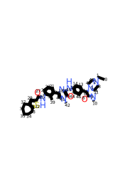 CCN1CCN(C(C(=O)N(C)C)c2ccc(Nc3nc(-c4cccc(NC(=O)c5cc6c(s5)CCCCC6)c4C)cn(C)c3=O)cc2)CC1